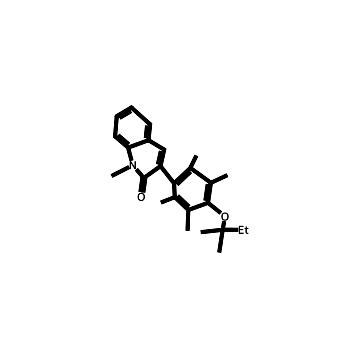 CCC(C)(C)Oc1c(C)c(C)c(-c2cc3ccccc3n(C)c2=O)c(C)c1C